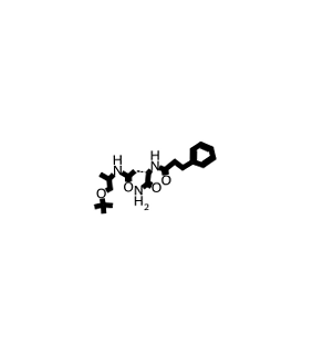 CC(COC(C)(C)C)NC(=O)C[C@H](NC(=O)CCc1ccccc1)C(N)=O